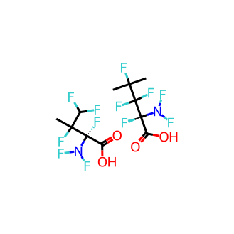 CC(C)(F)C(F)(F)[C@@](F)(C(=O)O)N(F)F.CC(F)(C(F)F)[C@@](F)(C(=O)O)N(F)F